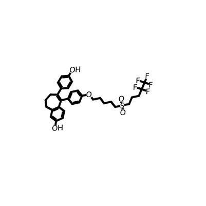 O=S(=O)(CCCCCOc1ccc(C2=C(c3ccc(O)cc3)CCCc3cc(O)ccc32)cc1)CCCC(F)(F)C(F)(F)F